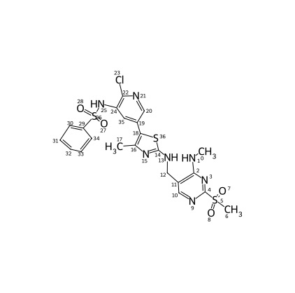 CNc1nc(S(C)(=O)=O)ncc1CNc1nc(C)c(-c2cnc(Cl)c(NS(=O)(=O)c3ccccc3)c2)s1